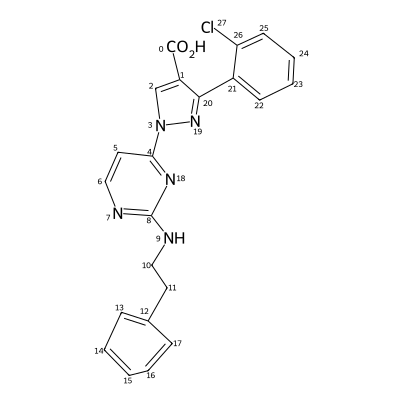 O=C(O)c1cn(-c2ccnc(NCCc3ccccc3)n2)nc1-c1ccccc1Cl